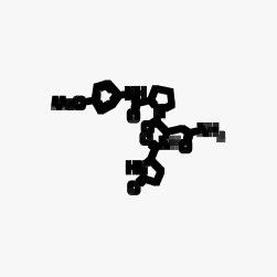 COc1ccc(NC(=O)C2CCCN2C(=O)C(CC(N)=O)NC(=O)C2CCC(=O)N2)cc1